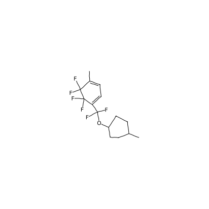 CC1=CC=C(C(F)(F)OC2CCC(C)CC2)C(F)(F)C1(F)F